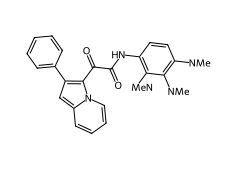 CNc1ccc(NC(=O)C(=O)c2c(-c3ccccc3)cc3ccccn23)c(NC)c1NC